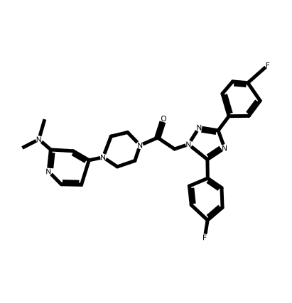 CN(C)c1cc(N2CCN(C(=O)Cn3nc(-c4ccc(F)cc4)nc3-c3ccc(F)cc3)CC2)ccn1